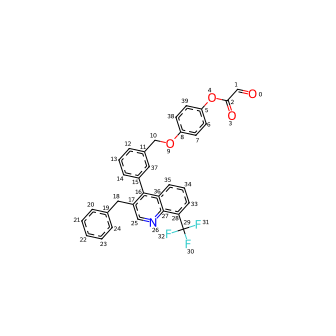 O=CC(=O)Oc1ccc(OCc2cccc(-c3c(Cc4ccccc4)cnc4c(C(F)(F)F)cccc34)c2)cc1